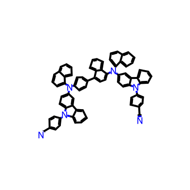 N#Cc1ccc(-n2c3ccccc3c3cc(N(c4ccc(-c5ccc(N(c6ccc7c(c6)c6ccccc6n7-c6ccc(C#N)cc6)c6cccc7ccccc67)c6ccccc56)cc4)c4cccc5ccccc45)ccc32)cc1